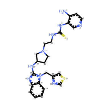 Nc1ccncc1NC(=S)NCCN1CCC(Nc2nc3ccccc3n2Cc2cscn2)C1